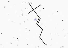 [CH2]CC/C=C/C(C)(C)CC